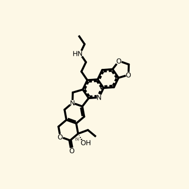 CCNCCc1c2c(nc3cc4c(cc13)OCO4)C1=CC3=C(COC(=O)[C@]3(O)CC)CN1C2